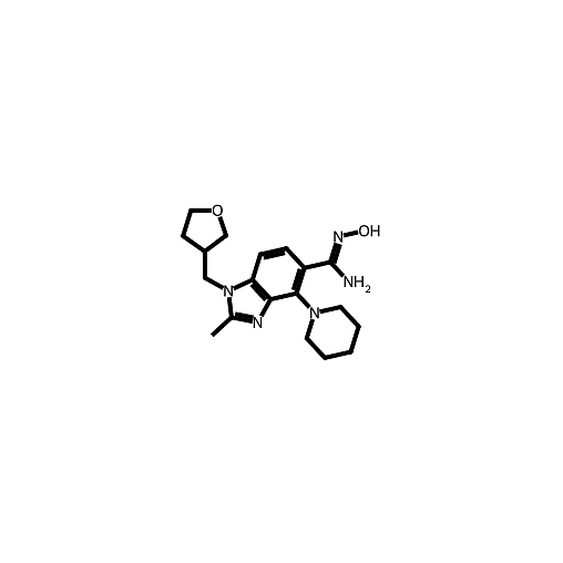 Cc1nc2c(N3CCCCC3)c(C(N)=NO)ccc2n1CC1CCOC1